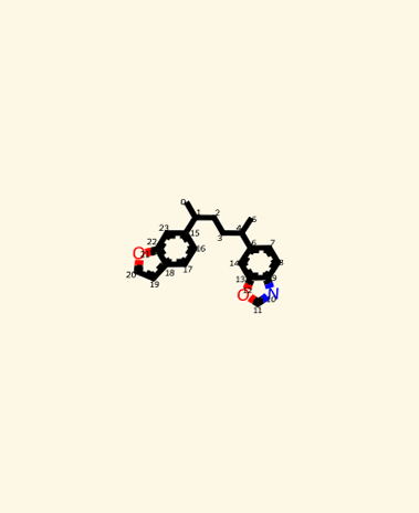 CC(CCC(C)c1ccc2ncoc2c1)c1ccc2ccoc2c1